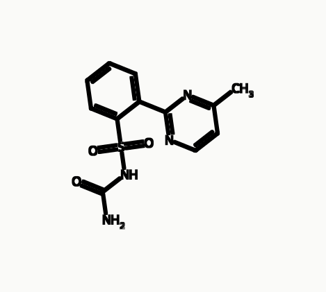 Cc1ccnc(-c2ccccc2S(=O)(=O)NC(N)=O)n1